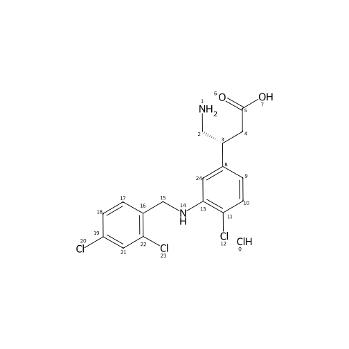 Cl.NC[C@H](CC(=O)O)c1ccc(Cl)c(NCc2ccc(Cl)cc2Cl)c1